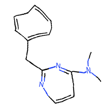 CN(C)c1ccnc(Cc2ccccc2)n1